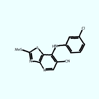 CSc1nc2ncc(C#N)c(Nc3cccc(Cl)c3)c2s1